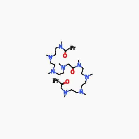 CC(C)C(=O)CN(C)CCN(C)CCN(C)CCN(C)C(=O)CN(C)CCN(C)CCN(C)CCN(C)C(=O)C(C)C